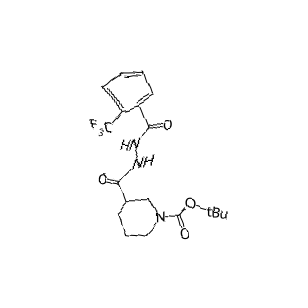 CC(C)(C)OC(=O)N1CCCC(C(=O)NNC(=O)c2ccccc2C(F)(F)F)C1